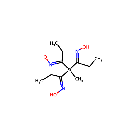 CCC(=NO)[Si](C)(C(CC)=NO)C(CC)=NO